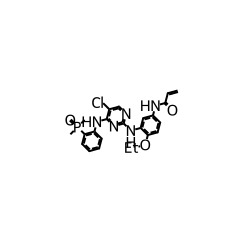 C=CC(=O)Nc1ccc(OCC)c(Nc2ncc(Cl)c(Nc3ccccc3P(C)(C)=O)n2)c1